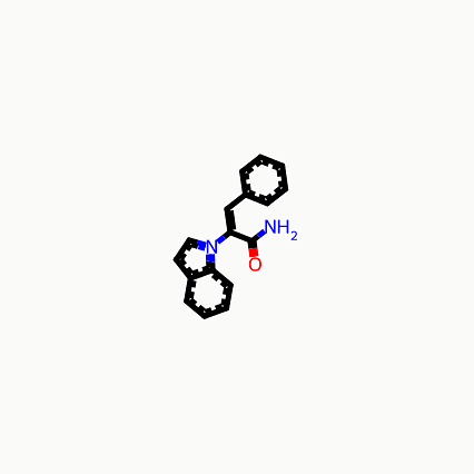 NC(=O)C(=Cc1ccccc1)n1ccc2ccccc21